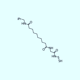 CC(C)CNC(=O)CCCCCCCCC(=O)NCC(=O)NSS